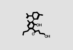 C=C(C)C1CCC(C)=C[C@H]1c1c(C)cc(CCC)c(C(=O)CCCO)c1O